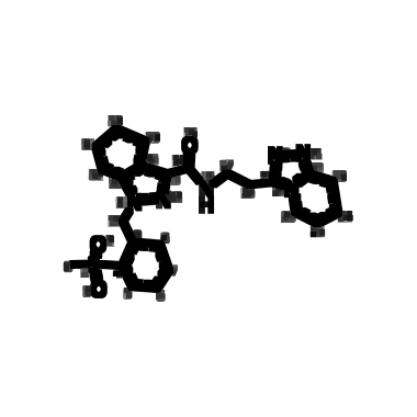 CS(=O)(=O)c1ccccc1Cn1nc(C(=O)NCCc2nnc3ccccn23)c2ccccc21